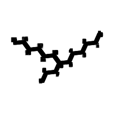 [CH2]CCCCCC(CCC)CCCCCC